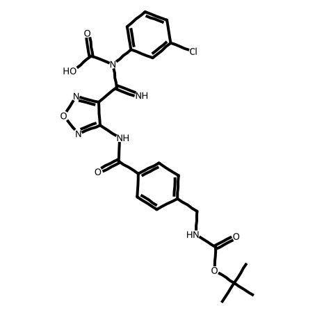 CC(C)(C)OC(=O)NCc1ccc(C(=O)Nc2nonc2C(=N)N(C(=O)O)c2cccc(Cl)c2)cc1